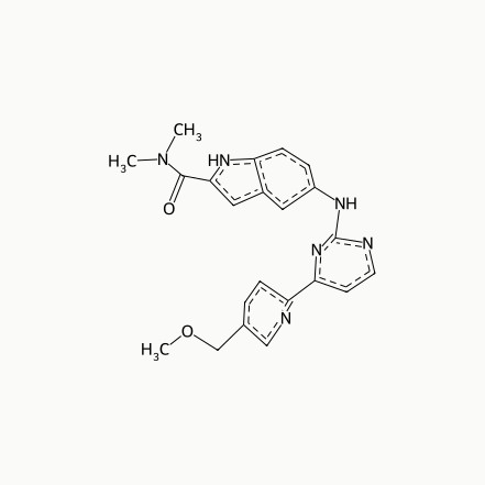 COCc1ccc(-c2ccnc(Nc3ccc4[nH]c(C(=O)N(C)C)cc4c3)n2)nc1